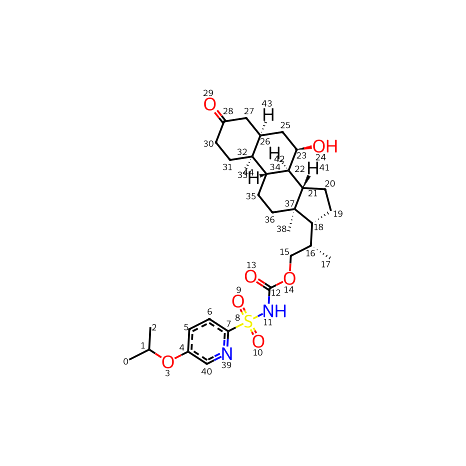 CC(C)Oc1ccc(S(=O)(=O)NC(=O)OC[C@@H](C)[C@H]2CC[C@H]3[C@@H]4[C@H](O)C[C@@H]5CC(=O)CC[C@]5(C)[C@H]4CC[C@]23C)nc1